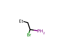 CCCC(P)Br